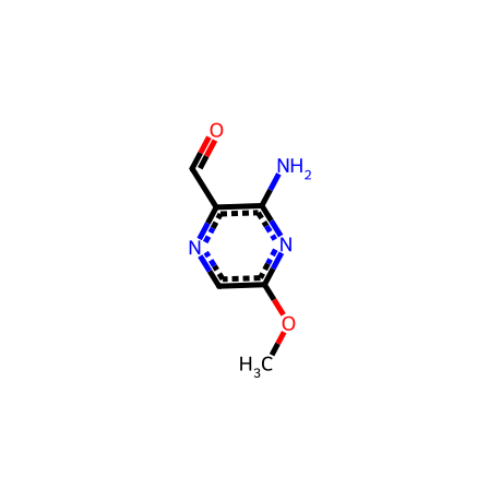 COc1cnc(C=O)c(N)n1